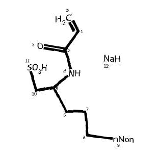 C=CC(=O)NC(CCCCCCCCCCCC)CS(=O)(=O)O.[NaH]